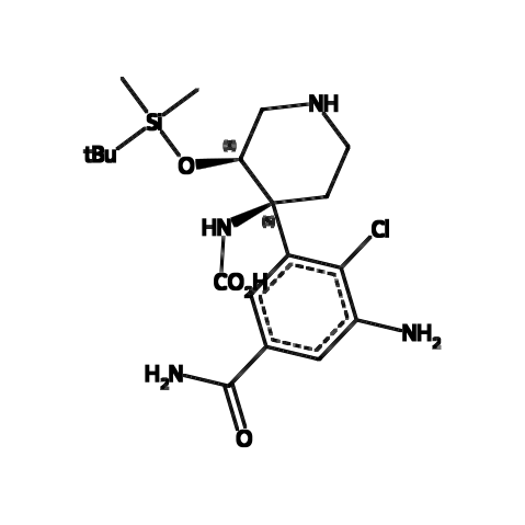 CC(C)(C)[Si](C)(C)O[C@H]1CNCC[C@]1(NC(=O)O)c1cc(C(N)=O)cc(N)c1Cl